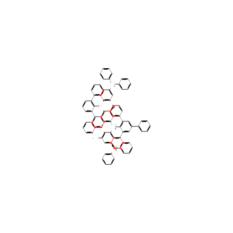 c1ccc(-c2cc(-c3ccccc3)c(N3c4cc5c(cc4B4c6ccccc6Oc6cc(N(c7ccccc7)c7ccccc7)cc3c64)B(c3c(-c4ccccc4)cccc3-c3ccccc3)c3ccc(N(c4ccccc4)c4ccccc4)cc3S5)c(-c3ccccc3)c2)cc1